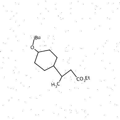 CCOC(=O)CC(C)C1CCC(OC(C)CC)CC1